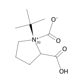 CC(C)(C)[N@+]1(C(=O)[O-])CCCC1C(=O)O